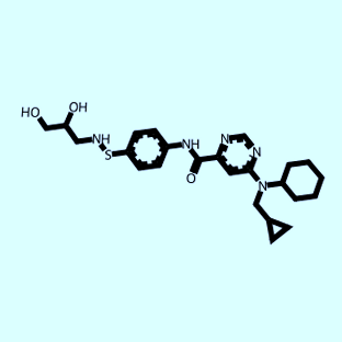 O=C(Nc1ccc(SNCC(O)CO)cc1)c1cc(N(CC2CC2)C2CCCCC2)ncn1